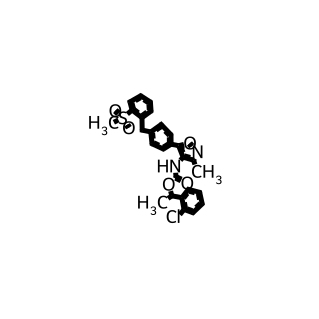 Cc1noc(-c2ccc(Cc3ccccc3S(C)(=O)=O)cc2)c1NC(=O)OC(C)c1ccccc1Cl